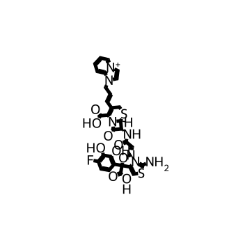 Nc1nc(C(O/N=C\C(=O)N[C@H]2C(=O)N3C(C(=O)O)=C(/C=C/Cn4cc[n+]5ccccc45)CS[C@@H]23)(C(=O)O)c2ccc(F)c(O)c2O)cs1